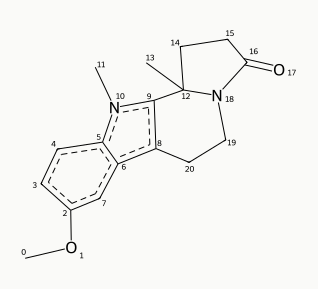 COc1ccc2c(c1)c1c(n2C)C2(C)CCC(=O)N2CC1